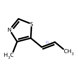 C/C=C/c1scnc1C